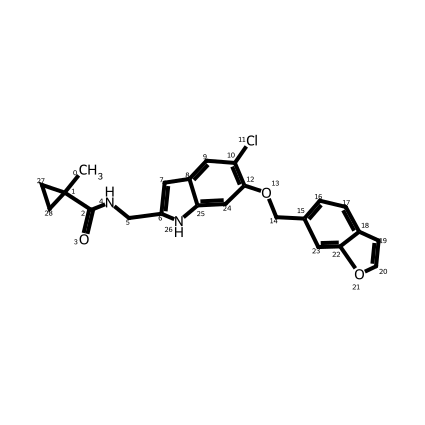 CC1(C(=O)NCc2cc3cc(Cl)c(OCc4ccc5ccoc5c4)cc3[nH]2)CC1